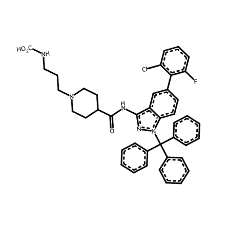 O=C(O)NCCCN1CCC(C(=O)Nc2nn(C(c3ccccc3)(c3ccccc3)c3ccccc3)c3ccc(-c4c(F)cccc4Cl)cc23)CC1